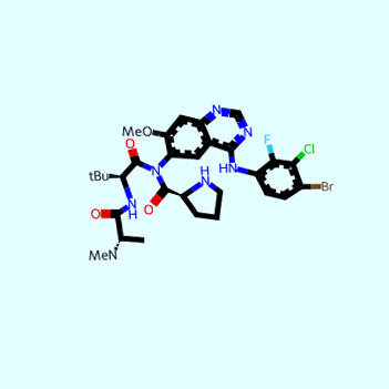 CN[C@@H](C)C(=O)N[C@H](C(=O)N(C(=O)[C@@H]1CCCN1)c1cc2c(Nc3ccc(Br)c(Cl)c3F)ncnc2cc1OC)C(C)(C)C